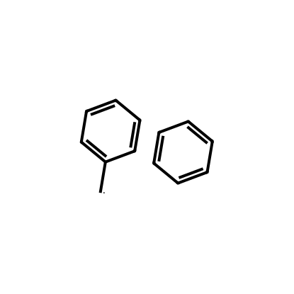 [CH2]c1ccccc1.c1ccccc1